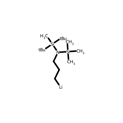 [Li][CH2]CCN([Si](C)(C)C)[Si](C)(C(C)(C)C)C(C)(C)C